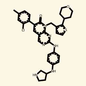 Cc1ccc(-c2cc3cnc(Nc4ccc(NC5CCNC5)cc4)nc3n(Cc3ccsc3C3CCOCC3)c2=O)c(Cl)c1